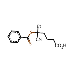 CCC(C#N)(CCCC(=O)O)SC(=S)c1ccccc1